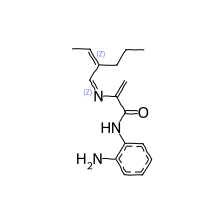 C=C(/N=C\C(=C/C)CCC)C(=O)Nc1ccccc1N